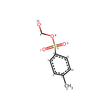 Cc1ccc(S(=O)(=O)OC[O])cc1